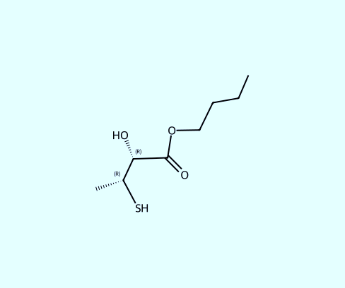 CCCCOC(=O)[C@@H](O)[C@@H](C)S